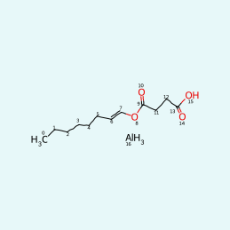 CCCCCCC=COC(=O)CCC(=O)O.[AlH3]